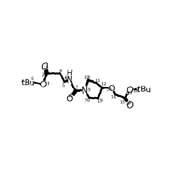 CC(C)(C)OC(=O)CCNC(=O)N1CCC(OCC(=O)OC(C)(C)C)CC1